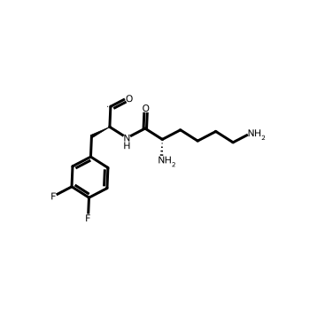 NCCCC[C@H](N)C(=O)N[C@H]([C]=O)Cc1ccc(F)c(F)c1